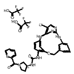 O=C(Nc1ccc2cc1CCc1cccc(c1)Nc1ncc(Cl)c(n1)N2)N[C@H]1CCN(C(=O)c2ccccn2)C1.O=C(O)C(F)(F)F.O=C(O)C(F)(F)F